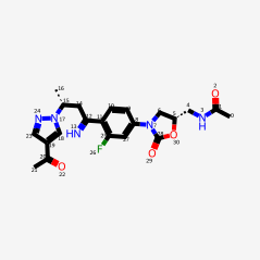 CC(=O)NC[C@H]1CN(c2ccc(C(=N)C[C@@H](C)n3cc(C(C)=O)cn3)c(F)c2)C(=O)O1